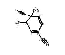 N#CC1=CC(N)C(N)(C#N)C=C1